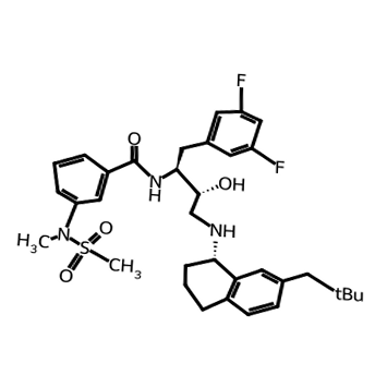 CN(c1cccc(C(=O)N[C@@H](Cc2cc(F)cc(F)c2)[C@H](O)CN[C@H]2CCCc3ccc(CC(C)(C)C)cc32)c1)S(C)(=O)=O